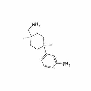 C[C@]1(CN)CC[C@@](C)(c2cccc(P)c2)CC1